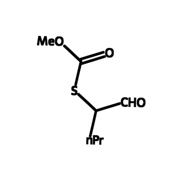 CCCC(C=O)SC(=O)OC